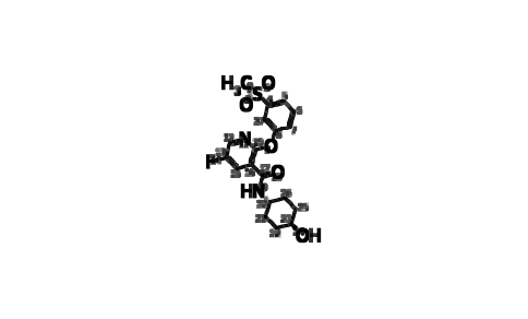 CS(=O)(=O)c1cccc(Oc2ncc(F)cc2C(=O)N[C@H]2CC[C@H](O)CC2)c1